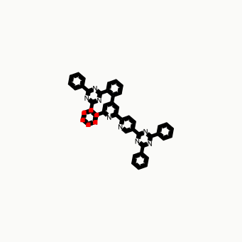 c1ccc(-c2nc(-c3ccccc3)nc(-c3ccc(-c4cc(-c5ccccc5-c5nc(-c6ccccc6)nc(-c6ccccc6)n5)cc(-c5ccccn5)n4)nc3)n2)cc1